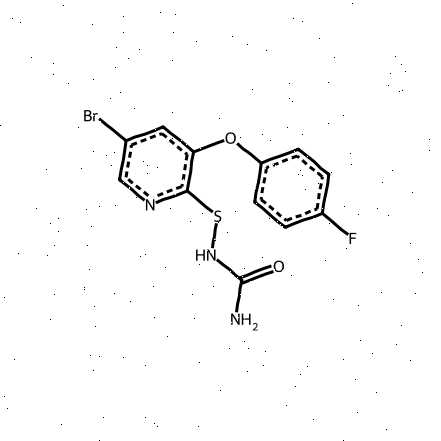 NC(=O)NSc1ncc(Br)cc1Oc1ccc(F)cc1